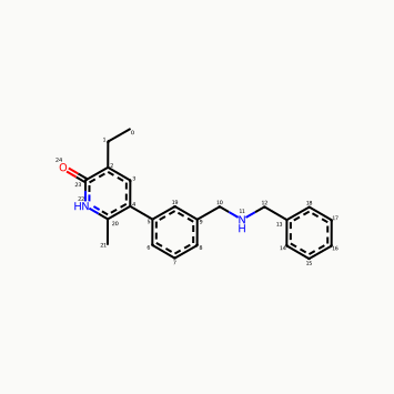 CCc1cc(-c2cccc(CNCc3ccccc3)c2)c(C)[nH]c1=O